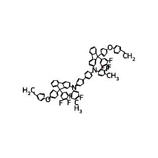 C=Cc1ccc(Oc2ccc(C3(c4cc(F)c(F)c(F)c4)c4ccccc4-c4ccc(N(c5ccc(-c6ccc(N(c7ccc(C)c(F)c7)c7ccc8c(c7)C(c7ccc(Oc9ccc(C=C)cc9)cc7)(c7cc(F)c(F)c(F)c7)c7ccccc7-8)cc6)cc5)c5ccc(C)c(F)c5)cc43)cc2)cc1